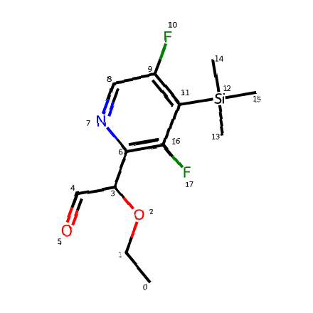 CCOC(C=O)c1ncc(F)c([Si](C)(C)C)c1F